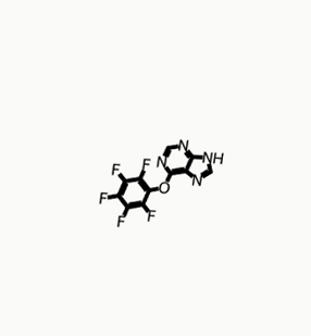 Fc1c(F)c(F)c(Oc2ncnc3[nH]cnc23)c(F)c1F